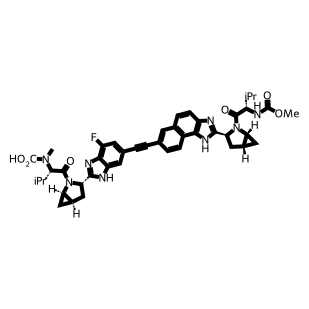 COC(=O)N[C@H](C(=O)N1[C@@H]2C[C@@H]2C[C@H]1c1nc2ccc3cc(C#Cc4cc(F)c5nc([C@@H]6C[C@H]7C[C@H]7N6C(=O)[C@H](C(C)C)N(C)C(=O)O)[nH]c5c4)ccc3c2[nH]1)C(C)C